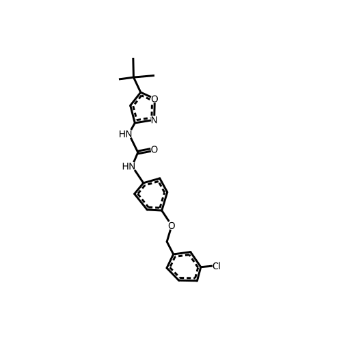 CC(C)(C)c1cc(NC(=O)Nc2ccc(OCc3cccc(Cl)c3)cc2)no1